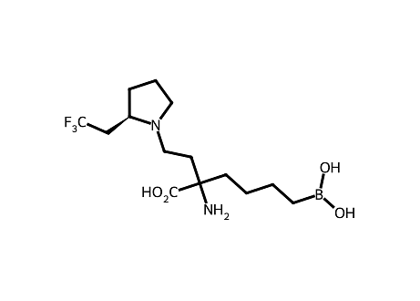 NC(CCCCB(O)O)(CCN1CCC[C@@H]1CC(F)(F)F)C(=O)O